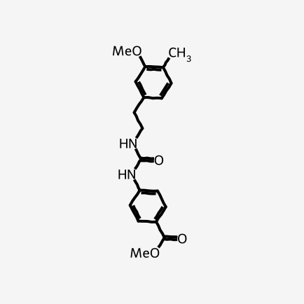 COC(=O)c1ccc(NC(=O)NCCc2ccc(C)c(OC)c2)cc1